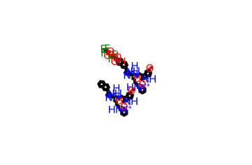 COc1ccc2[nH]c(C)c(CC(=O)N[C@@H](CCCCNc3cccc[n+]3[O-])c3ncc(-c4ccc5ccccc5c4)[nH]3)c2c1.COc1ccc2[nH]c(C)c(CC(=O)N[C@@H](CCCCNc3cccc[n+]3[O-])c3ncc(-c4ccc5ccccc5c4)[nH]3)c2c1.O=C(O)C(F)(F)F.O=C(O)C(F)(F)F